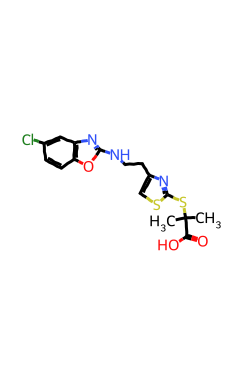 CC(C)(Sc1nc(CCNc2nc3cc(Cl)ccc3o2)cs1)C(=O)O